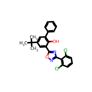 CC(C)(C)c1cc(-c2ccccc2)c(O)c(-c2nc(-c3c(Cl)cccc3Cl)no2)c1